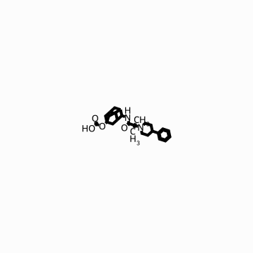 CC(C)(C(=O)NC1C2CC3CC1CC(OC(=O)O)(C3)C2)N1CCC(c2ccccc2)CC1